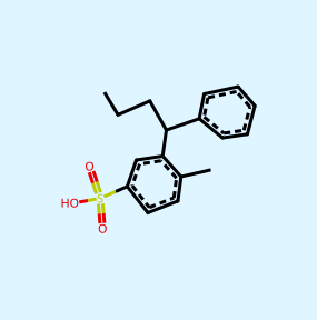 CCCC(c1ccccc1)c1cc(S(=O)(=O)O)ccc1C